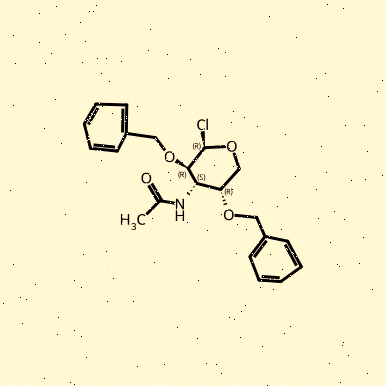 CC(=O)N[C@@H]1[C@@H](OCc2ccccc2)[C@@H](Cl)OC[C@@H]1OCc1ccccc1